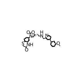 COc1cccc(-c2ccnc(CNCC[C@@H]3CN(c4ccc5c(c4)NC(=O)CS5)C(=O)O3)c2)c1